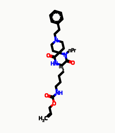 C=CCOC(=O)NCCCC[C@@H]1NC(=O)C2(CCN(CCc3ccccc3)CC2)N(CCC)C1=O